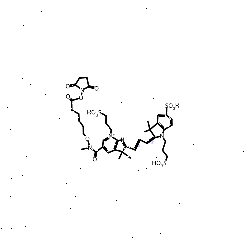 CN(OCCCCCC(=O)ON1C(=O)CCC1=O)C(=O)c1cc2c([n+](CCCS(=O)(=O)O)c1)N=C(/C=C/C=C1/N(CCCS(=O)(=O)O)c3ccc(S(=O)(=O)O)cc3C1(C)C)C2(C)C